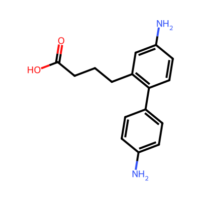 Nc1ccc(-c2ccc(N)cc2CCCC(=O)O)cc1